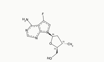 C[C@H]1C[C@H](n2cc(F)c3c(N)ncnc32)O[C@@H]1CO